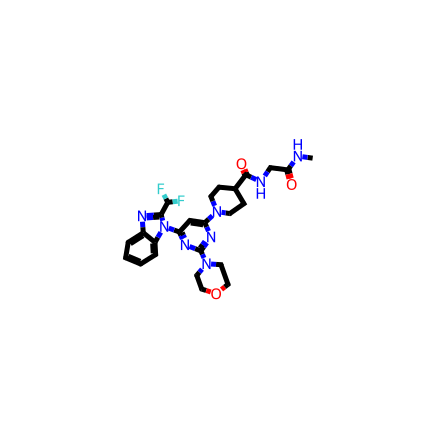 CNC(=O)CNC(=O)C1CCN(c2cc(-n3c(C(F)F)nc4ccccc43)nc(N3CCOCC3)n2)CC1